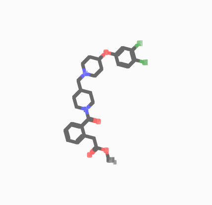 COC(=O)Cc1ccccc1C(=O)N1CCC(CN2CCC(Oc3ccc(Cl)c(Cl)c3)CC2)CC1